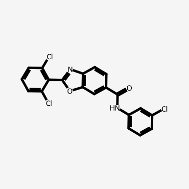 O=C(Nc1cccc(Cl)c1)c1ccc2nc(-c3c(Cl)cccc3Cl)oc2c1